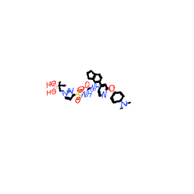 CN(C)C1CCC(Oc2cc(-c3ccc4c(c3NC(=O)NS(=O)(=O)c3ccn(CC(C)(C)B(O)O)n3)CCC4)ccn2)CC1